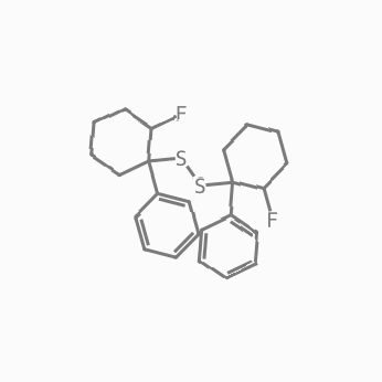 FC1CCCCC1(SSC1(c2ccccc2)CCCCC1F)c1ccccc1